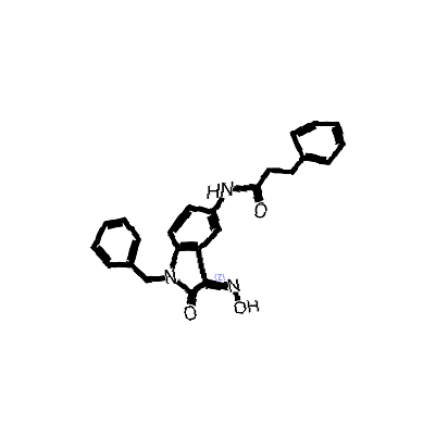 O=C(CCc1ccccc1)Nc1ccc2c(c1)/C(=N/O)C(=O)N2Cc1ccccc1